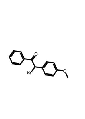 COc1ccc(C(Br)C(=O)c2ccccc2)cc1